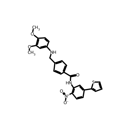 COc1ccc(NCc2ccc(C(=O)Nc3cc(-c4cccs4)ccc3[N+](=O)[O-])cc2)cc1OC